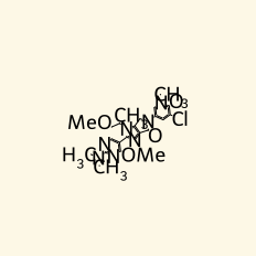 COCC(C)n1c(-c2cnc(N(C)C)nc2OC)nc2c1CN(c1cc(Cl)c(=O)n(C)c1)C2=O